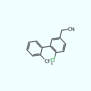 N#CCc1ccc(Cl)c(-c2ccccc2C(F)(F)F)c1